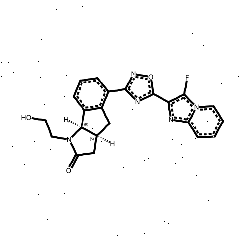 O=C1C[C@@H]2Cc3c(-c4noc(-c5nc6ccccn6c5F)n4)cccc3[C@@H]2N1CCO